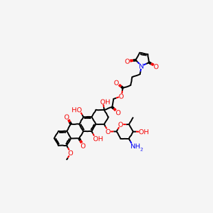 COc1cccc2c1C(=O)c1c(O)c3c(c(O)c1C2=O)CC(O)(C(=O)COC(=O)CCCN1C(=O)C=CC1=O)CC3OC1CC(N)C(O)C(C)O1